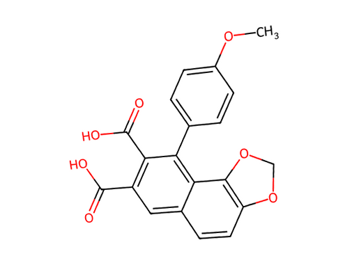 COc1ccc(-c2c(C(=O)O)c(C(=O)O)cc3ccc4c(c23)OCO4)cc1